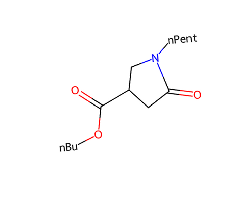 CCCCCN1CC(C(=O)OCCCC)CC1=O